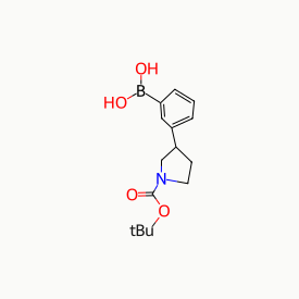 CC(C)(C)OC(=O)N1CCC(c2cccc(B(O)O)c2)C1